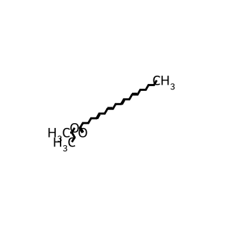 CCCCCC=CCC=CCC=CCC=CCCCC(=O)OC(C)CC